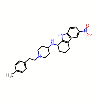 Cc1ccc(CCN2CCC(NC3CCCc4c3[nH]c3ccc([N+](=O)[O-])cc43)CC2)cc1